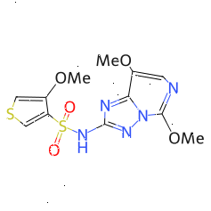 COc1cscc1S(=O)(=O)Nc1nc2c(OC)cnc(OC)n2n1